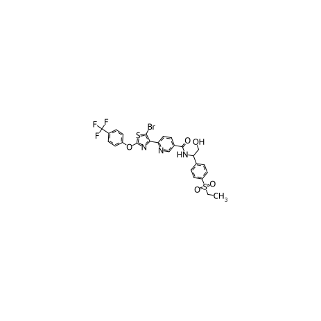 CCS(=O)(=O)c1ccc(C(CO)NC(=O)c2ccc(-c3nc(Oc4ccc(C(F)(F)F)cc4)sc3Br)nc2)cc1